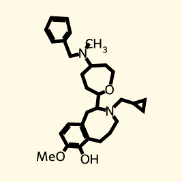 COc1ccc2c(c1O)CCCN(CC1CC1)C(C1CCC(N(C)Cc3ccccc3)CCO1)C2